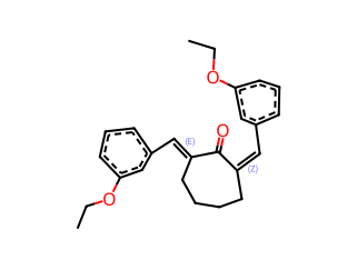 CCOc1cccc(/C=C2/CCCC/C(=C\c3cccc(OCC)c3)C2=O)c1